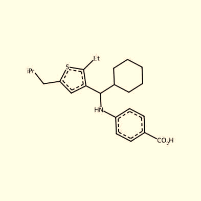 CCc1sc(CC(C)C)cc1C(Nc1ccc(C(=O)O)cc1)C1CCCCC1